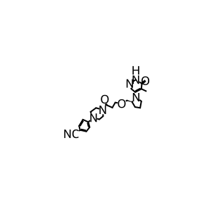 Cc1c(N2CCC[C@H]2COCCC(=O)N2CCN(c3ccc(C#N)cc3)CC2)cn[nH]c1=O